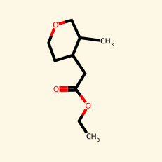 CCOC(=O)CC1CCOCC1C